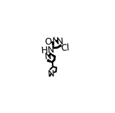 CN1CCC(c2ccc(Nc3cc(Cl)nn(C)c3=O)nc2)C1